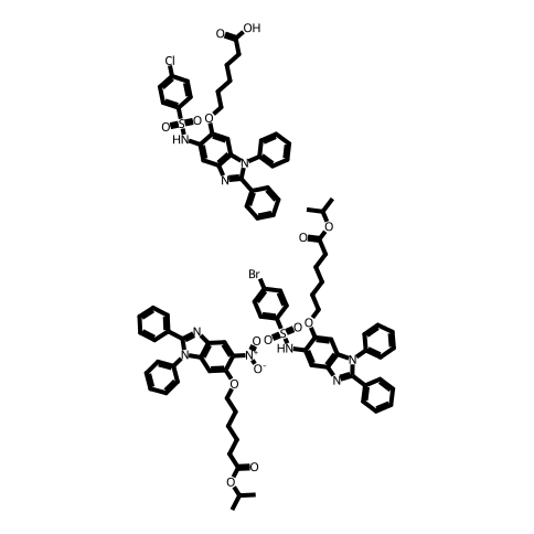 CC(C)OC(=O)CCCCCOc1cc2c(cc1NS(=O)(=O)c1ccc(Br)cc1)nc(-c1ccccc1)n2-c1ccccc1.CC(C)OC(=O)CCCCCOc1cc2c(cc1[N+](=O)[O-])nc(-c1ccccc1)n2-c1ccccc1.O=C(O)CCCCCOc1cc2c(cc1NS(=O)(=O)c1ccc(Cl)cc1)nc(-c1ccccc1)n2-c1ccccc1